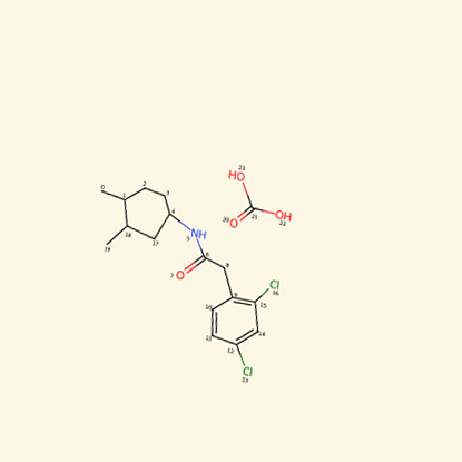 CC1CCC(NC(=O)Cc2ccc(Cl)cc2Cl)CC1C.O=C(O)O